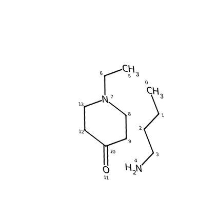 CCCCN.CCN1CCC(=O)CC1